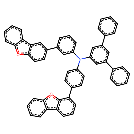 c1ccc(-c2cc(-c3ccccc3)cc(N(c3ccc(-c4cccc5c4oc4ccccc45)cc3)c3cccc(-c4ccc5oc6ccccc6c5c4)c3)c2)cc1